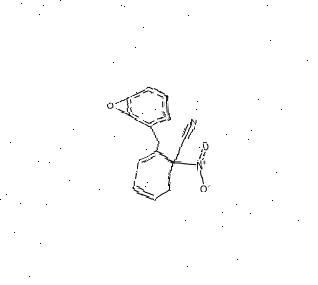 N#CC1([N+](=O)[O-])CC=CC=C1c1cccc2c1O2